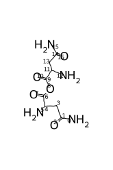 NC(=O)CC(N)C(=O)OC(=O)C(N)CC(N)=O